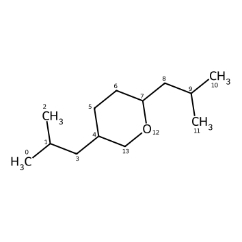 CC(C)CC1CCC(CC(C)C)OC1